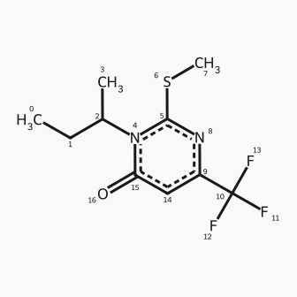 CCC(C)n1c(SC)nc(C(F)(F)F)cc1=O